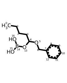 CCCCC(OCc1ccccc1)OB(O)O